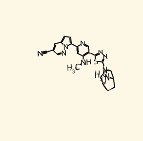 CNc1cc(-c2ccc3cc(C#N)cnn23)ncc1-c1nnc(N2CC3CCC(C2)N3C)s1